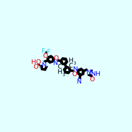 Cc1c(-c2nc3cc(CN4CCC[C@H]4C(=O)O)c(OC(F)F)cc3o2)cccc1-c1cccc(-c2nc3cc(CN4CNC(=O)C4)cc(C#N)c3o2)c1C